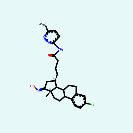 COc1ccc(NC(=O)CCC[C@@H]2C/C(=N\O)[C@@]3(C)CCC4c5ccc(Cl)cc5CCC4C23)nn1